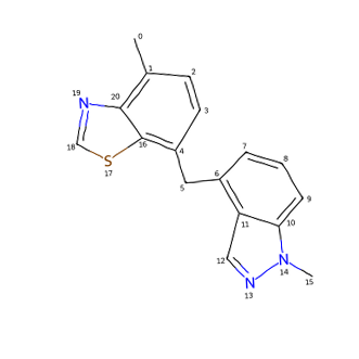 Cc1ccc(Cc2cccc3c2cnn3C)c2scnc12